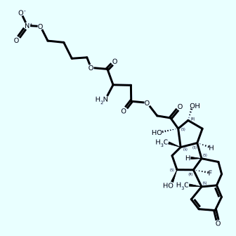 C[C@]12C=CC(=O)C=C1CC[C@H]1[C@@H]3C[C@@H](O)[C@](O)(C(=O)COC(=O)CC(N)C(=O)OCCCCO[N+](=O)[O-])[C@@]3(C)C[C@H](O)[C@@]12F